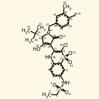 CCS(=O)(=O)Nc1ccc2c(c1)S(=O)(=O)C(Cl)=C(C1=C(O)[C@H](C(C)(C)C)N(Cc3ccc(F)c(C)c3)C1=O)N2